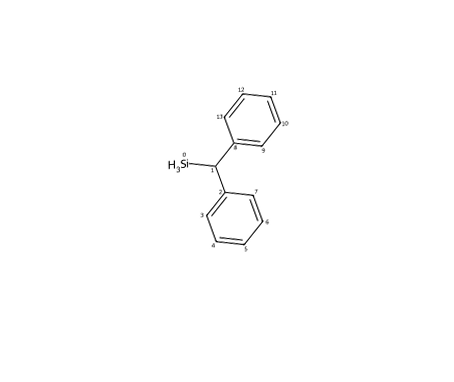 [SiH3]C(c1ccccc1)c1ccccc1